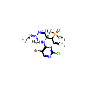 C=CC([C@@H](/C=N\N(C)N=C)Nc1nc(Cl)ncc1Br)P(C)(C)=O